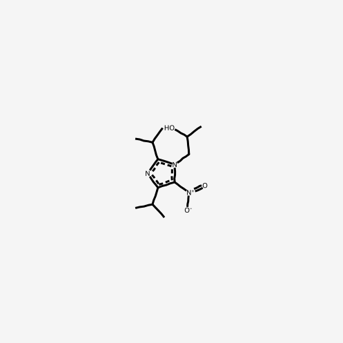 CC(O)Cn1c(C(C)C)nc(C(C)C)c1[N+](=O)[O-]